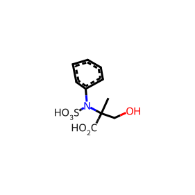 CC(CO)(C(=O)O)N(c1ccccc1)S(=O)(=O)O